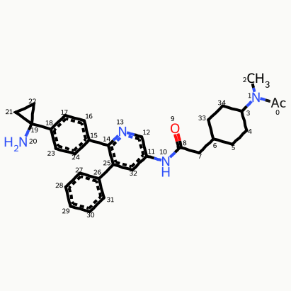 CC(=O)N(C)C1CCC(CC(=O)Nc2cnc(-c3ccc(C4(N)CC4)cc3)c(-c3ccccc3)c2)CC1